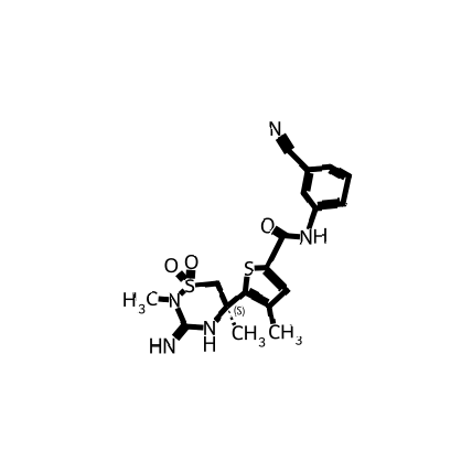 Cc1cc(C(=O)Nc2cccc(C#N)c2)sc1[C@]1(C)CS(=O)(=O)N(C)C(=N)N1